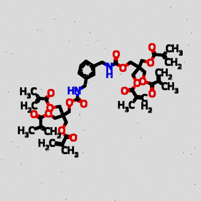 C=C(C)C(=O)OCC(COC(=O)NCc1cccc(CNC(=O)OCC(COC(=O)C(=C)C)(COC(=O)C(=C)C)COC(=O)C(=C)C)c1)(COC(=O)C(=C)C)COC(=O)C(=C)C